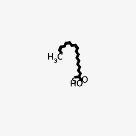 CC/C=C\C/C=C\C/C=C\CCCCCCCCC(C=S)C(=O)O